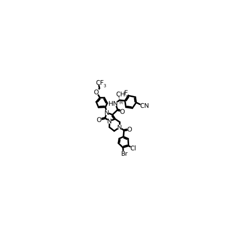 C[C@@H](NC(=O)c1c2n(c(=O)n1-c1ccc(OCC(F)(F)F)cc1)CCN(C(=O)c1ccc(Br)c(Cl)c1)C2)c1ccc(C#N)cc1F